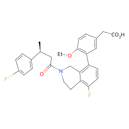 CCOc1ccc(CC(=O)O)cc1-c1ccc(F)c2c1CN(C(=O)C[C@H](C)c1ccc(F)cc1)CC2